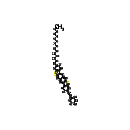 CCCCCCCCCCCCCCCCc1ccc2c(c1)sc1cc3cc4c(cc3cc12)sc1cc(C#Cc2ccccc2)ccc14